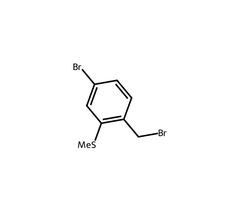 CSc1cc(Br)ccc1CBr